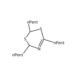 CCCCCC1=NC(CCCCC)SC(CCCCC)S1